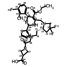 CCOC(=O)C1=C(CN2CC(F)(F)C[C@@H]2CCNCC(=O)N2CC(C(=O)O)C2)NC(c2nccs2)=N[C@H]1c1cccc(F)c1C